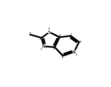 Cc1nc2cnccc2s1